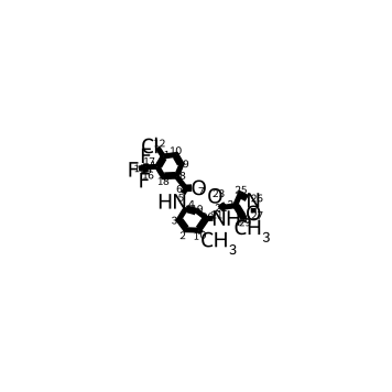 Cc1ccc(NC(=O)c2ccc(Cl)c(C(F)(F)F)c2)cc1NC(=O)c1cnoc1C